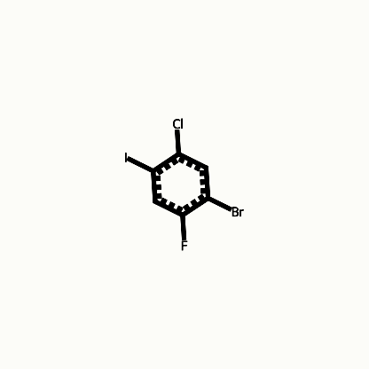 Fc1cc(I)c(Cl)cc1Br